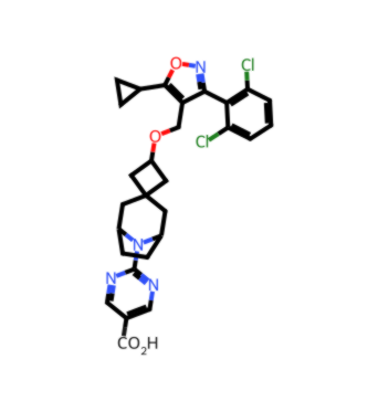 O=C(O)c1cnc(N2C3CCC2CC2(CC(OCc4c(-c5c(Cl)cccc5Cl)noc4C4CC4)C2)C3)nc1